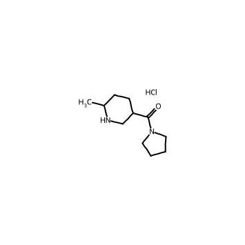 CC1CCC(C(=O)N2CCCC2)CN1.Cl